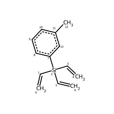 C=C[Si](C=C)(C=C)c1cccc(C)c1